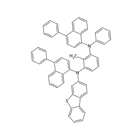 Cc1c(N(c2ccccc2)c2ccc(-c3ccccc3)c3ccccc23)cccc1N(c1ccc2c(c1)sc1ccccc12)c1ccc(-c2ccccc2)c2ccccc12